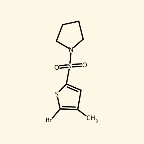 Cc1cc(S(=O)(=O)N2CCCC2)sc1Br